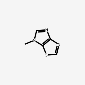 Cn1cnc2ncsc21